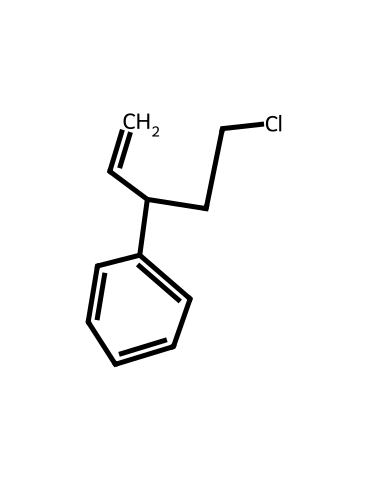 C=CC(CCCl)c1ccccc1